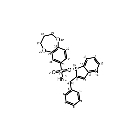 O=S(=O)(N[C@@H](c1ccccc1)c1cc2ncccc2s1)c1ccc2c(c1)OCCCO2